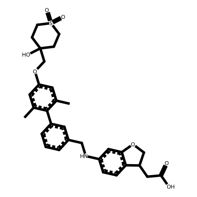 Cc1cc(OCC2(O)CCS(=O)(=O)CC2)cc(C)c1-c1cccc(CNc2ccc3c(c2)OCC3CC(=O)O)c1